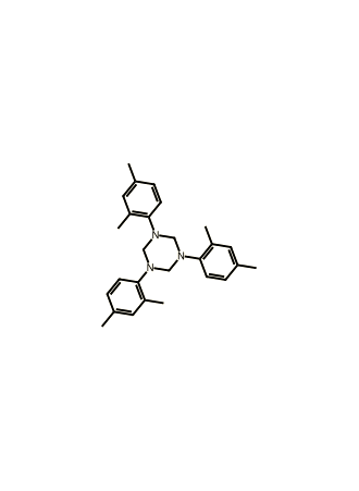 Cc1ccc(N2CN(c3ccc(C)cc3C)CN(c3ccc(C)cc3C)C2)c(C)c1